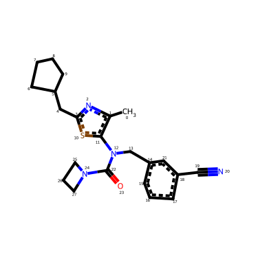 Cc1nc(CC2CCCC2)sc1N(Cc1cccc(C#N)c1)C(=O)N1CCC1